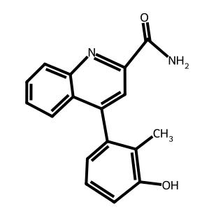 Cc1c(O)cccc1-c1cc(C(N)=O)nc2ccccc12